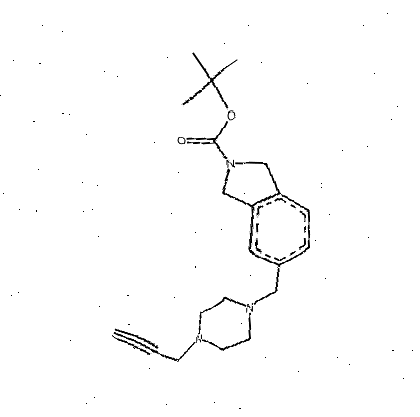 C#CCN1CCN(Cc2ccc3c(c2)CN(C(=O)OC(C)(C)C)C3)CC1